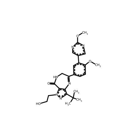 COc1ncc(-c2cc(C3=Nc4c(C(C)(C)C)nn(CCO)c4C(=O)NC3)ccc2OC)cn1